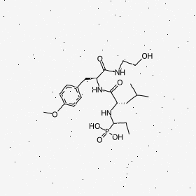 CCC(N[C@@H](CC(C)C)C(=O)N[C@@H](Cc1ccc(OC)cc1)C(=O)NCCO)P(=O)(O)O